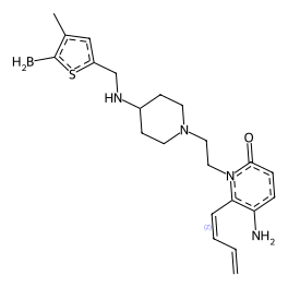 Bc1sc(CNC2CCN(CCn3c(/C=C\C=C)c(N)ccc3=O)CC2)cc1C